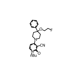 CCCCn1ccc(N2CCC(OCCF)(c3ccccc3)CC2)c(C#N)c1=O